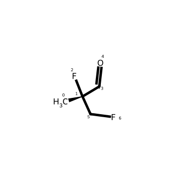 C[C@@](F)([C]=O)CF